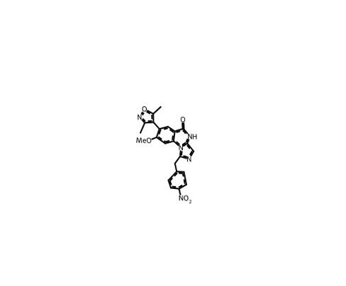 COc1cc2c(cc1-c1c(C)noc1C)c(=O)[nH]c1cnc(Cc3ccc([N+](=O)[O-])cc3)n12